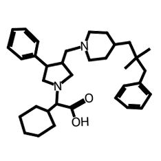 CC(C)(Cc1ccccc1)CC1CCN(CC2CN(C(C(=O)O)C3CCCCC3)CC2c2ccccc2)CC1